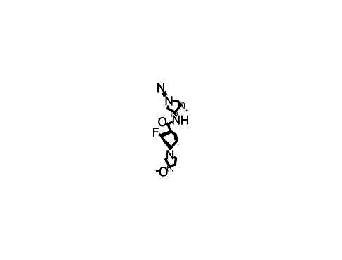 CO[C@@H]1CCN(c2ccc(C(=O)N[C@H]3CN(C#N)C[C@@H]3C)c(F)c2)C1